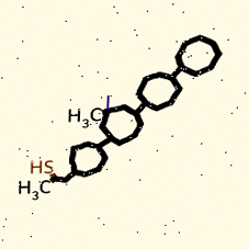 CC(S)CC1CCCC(C2CCCC(C3CCCC(C4CCCCCCC4)CCC3)CC(C)(I)C2)CCC1